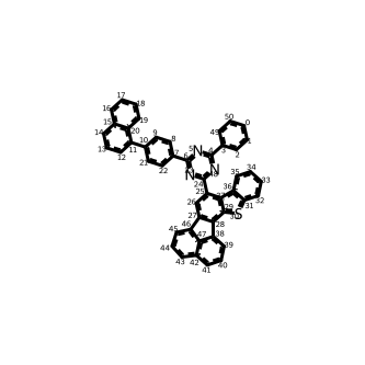 c1ccc(-c2nc(-c3ccc(-c4cccc5ccccc45)cc3)nc(-c3cc4c(c5sc6ccccc6c35)-c3cccc5cccc-4c35)n2)cc1